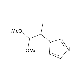 COC(OC)C(C)n1ccnc1